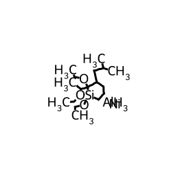 CCOC1(CC)C(CC(C)C)CCC[Si]1(OCC)OCC.[AlH3].[Ni]